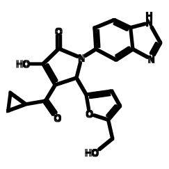 O=C(C1=C(O)C(=O)N(c2ccc3[nH]cnc3c2)C1c1ccc(CO)o1)C1CC1